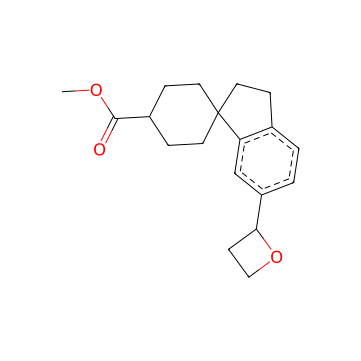 COC(=O)C1CCC2(CCc3ccc(C4CCO4)cc32)CC1